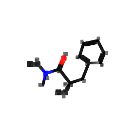 CN[C@H](Cc1ccccc1)C(=O)N(C)OC